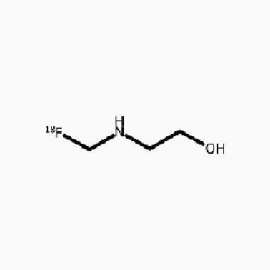 OCCNC[18F]